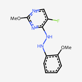 COc1ncc(F)c(NNc2ccccc2OC)n1